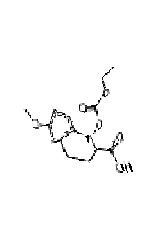 CCOC(=O)ON1c2ccc(OC)cc2CCC1C(=O)O